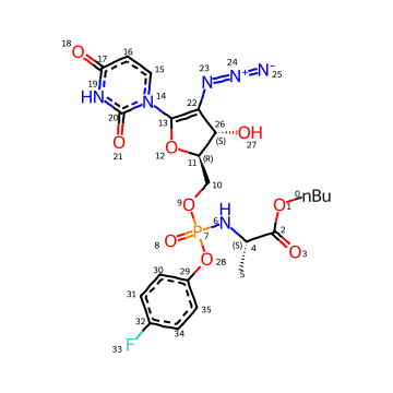 CCCCOC(=O)[C@H](C)NP(=O)(OC[C@H]1OC(n2ccc(=O)[nH]c2=O)=C(N=[N+]=[N-])[C@@H]1O)Oc1ccc(F)cc1